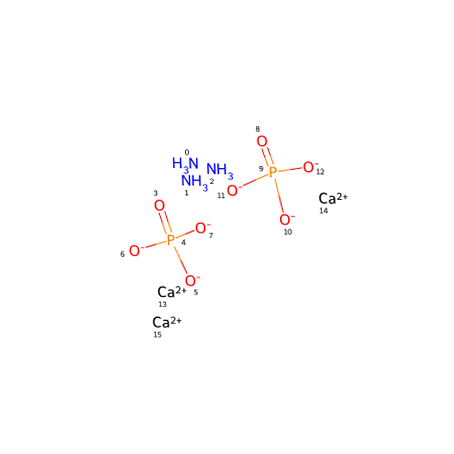 N.N.N.O=P([O-])([O-])[O-].O=P([O-])([O-])[O-].[Ca+2].[Ca+2].[Ca+2]